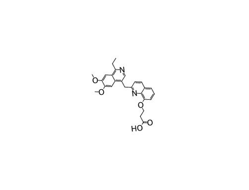 CCc1ncc(Cc2ccc3cccc(OCCC(=O)O)c3n2)c2cc(OC)c(OC)cc12